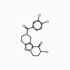 CC(=O)C1CCn2nc3c(c2C1=O)CN(C(=O)c1ccc(Cl)c(Cl)c1)CC3